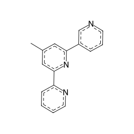 Cc1cc(-c2cccnc2)nc(-c2ccccn2)c1